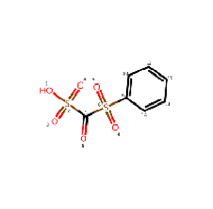 O=C(S(=O)(=O)O)S(=O)(=O)c1ccccc1